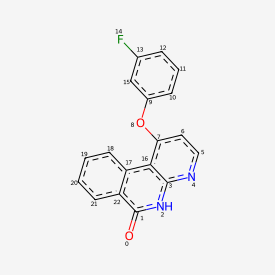 O=c1[nH]c2nccc(Oc3cccc(F)c3)c2c2ccccc12